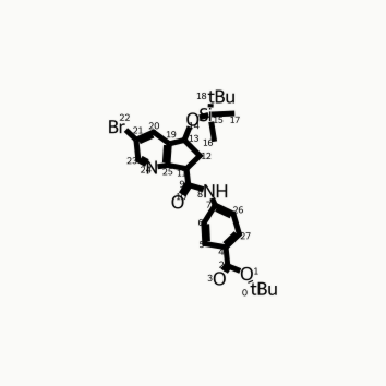 CC(C)(C)OC(=O)c1ccc(NC(=O)C2CC(O[Si](C)(C)C(C)(C)C)c3cc(Br)cnc32)cc1